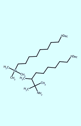 CCCCCCCCCCCCCCCCC(C)C(C)(C)N.CCCCCCCCCCCCCCCCCC[N+](C)(C)C